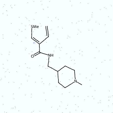 C=C/C(=C\SC)C(=O)NCC1CCN(C)CC1